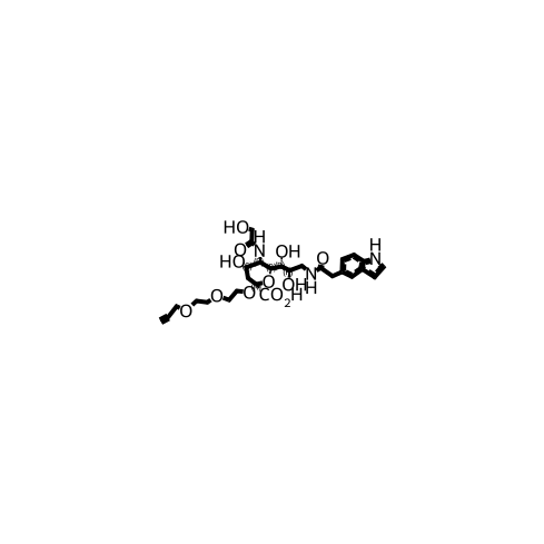 C#CCOCCOCCO[C@]1(C(=O)O)C[C@H](O)[C@@H](NC(=O)CO)[C@H]([C@H](O)[C@H](O)CNC(=O)Cc2ccc3[nH]ccc3c2)O1